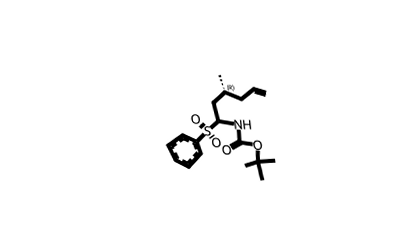 C=CC[C@@H](C)CC(NC(=O)OC(C)(C)C)S(=O)(=O)c1ccccc1